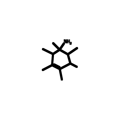 CC1=C(C)C(C)C(C)(N)C(C)C1C